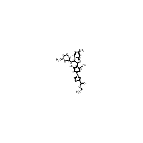 CCOC(=O)c1cn(-c2cc(F)c(C3N=C4C=C(C)C=CN4C3CC3CN(C)CCO3)c(F)c2)cn1